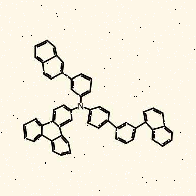 c1cc(-c2ccc(N(c3cccc(-c4ccc5ccccc5c4)c3)c3ccc4c5ccccc5c5ccccc5c4c3)cc2)cc(-c2cccc3ccccc23)c1